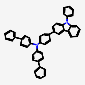 c1ccc(-c2ccc(N(c3ccc(-c4ccccc4)cc3)c3ccc(-c4ccc5c(c4)c4ccccc4n5-c4ccccc4)cc3)cc2)cc1